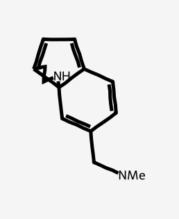 CNCC1=CC23NCCC2=CC=C3C=C1